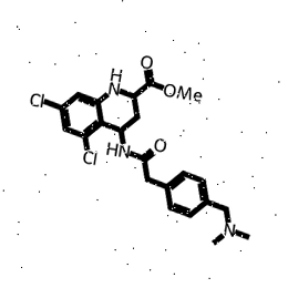 COC(=O)C1CC(NC(=O)Cc2ccc(CN(C)C)cc2)c2c(Cl)cc(Cl)cc2N1